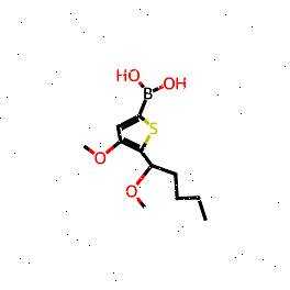 CCCCC(OC)c1sc(B(O)O)cc1OC